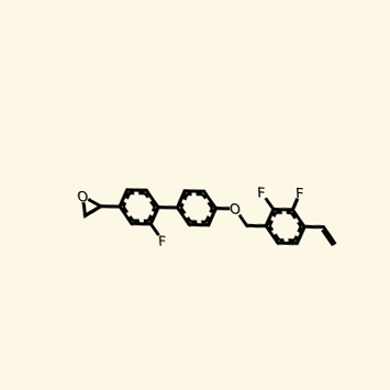 C=Cc1ccc(COc2ccc(-c3ccc(C4CO4)cc3F)cc2)c(F)c1F